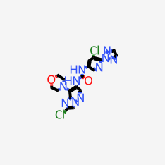 O=C(Nc1cnc(-n2nccn2)c(Cl)c1)Nc1cnn2cc(Cl)nc2c1N1CCOCC1